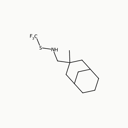 CC1(CNSC(F)(F)F)CC2CCCC(C2)C1